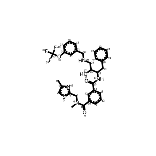 Cc1csc(CN(C)C(=O)c2cccc(C(=O)NC(Cc3ccccc3)C(O)CNCc3cccc(OC(F)(F)F)c3)c2)n1